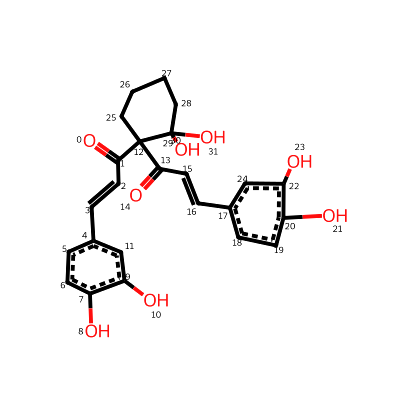 O=C(C=Cc1ccc(O)c(O)c1)C1(C(=O)C=Cc2ccc(O)c(O)c2)CCCCC1(O)O